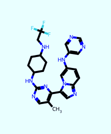 Cc1cnc(NC2CCC(NCC(F)(F)F)CC2)nc1-c1cnc2ccc(Nc3cncnc3)cn12